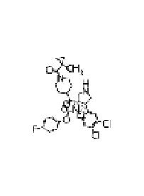 CCN(C(=O)Oc1ccc(F)cc1)[C@]1(C(=O)C2CCN(C(=O)C3(C)CC3)CC2)CNC[C@H]1c1ccc(Cl)c(Cl)c1